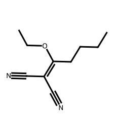 CCCCC(OCC)=C(C#N)C#N